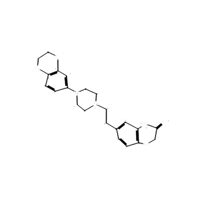 O=C1COc2ccc(CCN3CCN(c4ccc5c(c4)OCCO5)CC3)cc2N1